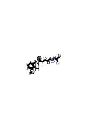 COc1cccc(CNC(=O)CCCC/C=C/C(C)C)c1